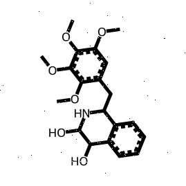 COc1cc(CC2NC(O)C(O)c3ccccc32)c(OC)c(OC)c1OC